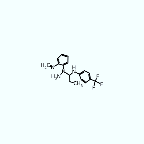 C=Nc1ccccc1N(N)C(CC)Nc1ccc(C(F)(F)F)cc1